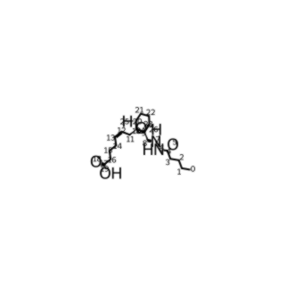 CCCCC(=O)NN=C[C@H]1[C@@H](C/C=C\CCCC(=O)O)[C@H]2CC[C@@H]1O2